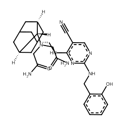 N#Cc1cnc(NCc2ccccc2O)nc1NC[C@@]12CC3C[C@H](C1)[C@@H](N(CC(N)=O)CC(N)=O)[C@@H](C3)C2